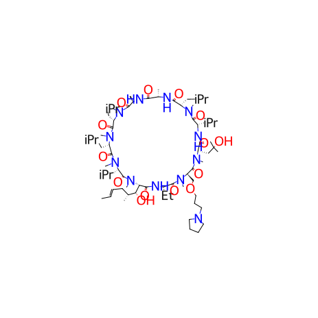 C/C=C/C[C@@H](C)[C@@H](O)[C@H]1C(=O)N[C@@H](CC)C(=O)N(C)[C@H](COCCCN2CCCC2)C(=O)N(C)[C@@H](CC(C)(C)O)C(=O)N[C@@H](C(C)C)C(=O)N(C)[C@@H](CC(C)C)C(=O)N[C@@H](C)C(=O)N[C@H](C)C(=O)N(C)[C@@H](CC(C)C)C(=O)N(C)[C@@H](CC(C)C)C(=O)N(C)[C@@H](C(C)C)C(=O)N1C